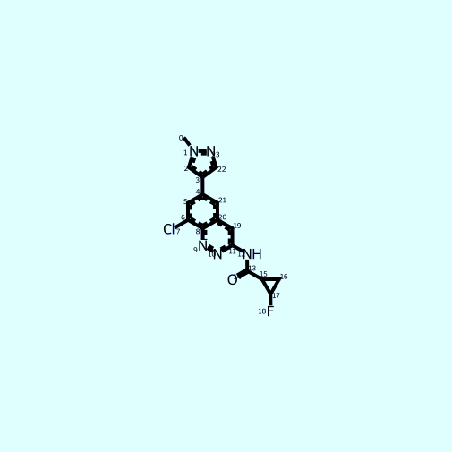 Cn1cc(-c2cc(Cl)c3nnc(NC(=O)C4CC4F)cc3c2)cn1